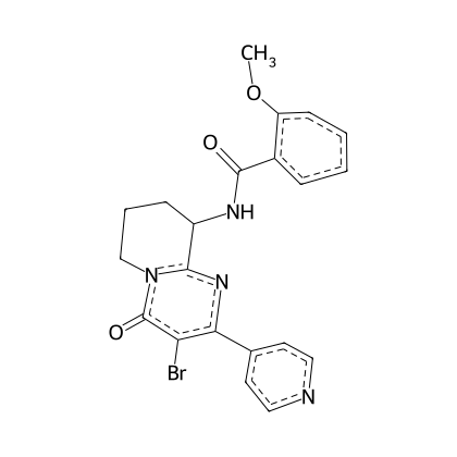 COc1ccccc1C(=O)NC1CCCn2c1nc(-c1ccncc1)c(Br)c2=O